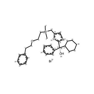 C[N+](C)(CCOCCc1ccccc1)Cc1cnc([C@](O)(c2ccccc2)C2CCCCC2)o1.[Br-]